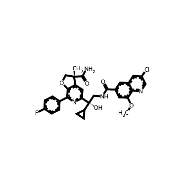 COc1cc(C(=O)NC[C@](O)(c2cc3c(c(-c4ccc(F)cc4)n2)OC[C@]3(C)C(N)=O)C2CC2)cc2cc(Cl)cnc12